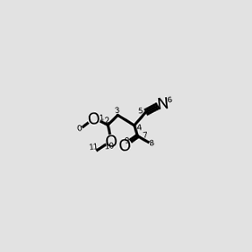 COC(CC(C#N)C(C)=O)OC